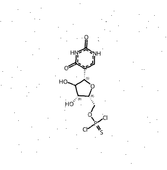 O=c1[nH]cc([C@@H]2O[C@H](COP(=S)(Cl)Cl)[C@H](O)C2O)c(=O)[nH]1